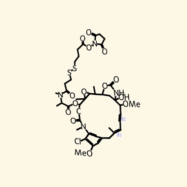 COc1cc2cc(c1Cl)N(C)C(=O)CC(OC(=O)C(C)N(C)C(=O)CCSSCCCC(=O)ON1C(=O)CCC1=O)C1(C)OC1C(C)C1CC(O)(NC(=O)O1)C(OC)/C=C/C=C(\C)C2